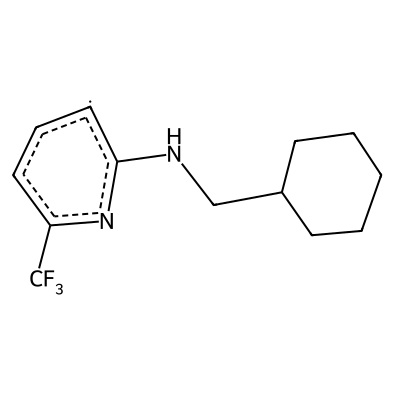 FC(F)(F)c1cc[c]c(NCC2CCCCC2)n1